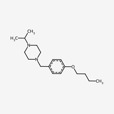 CCCCOc1ccc(CN2CCN(C(C)C)CC2)cc1